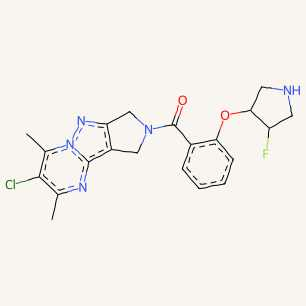 Cc1nc2c3c(nn2c(C)c1Cl)CN(C(=O)c1ccccc1OC1CNCC1F)C3